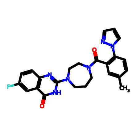 Cc1ccc(-n2cccn2)c(C(=O)N2CCCN(c3nc4ccc(F)cc4c(=O)[nH]3)CC2)c1